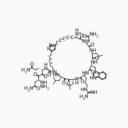 CN[C@@H]1CCCCCn2cc(nn2)CCC[C@@H](C(=O)N[C@@H](CCC(N)=O)C(=O)C(=O)[C@H](CC(N)=O)NN)NN[C@H](CC(C)C)C(=O)C(=O)[C@H](CC(C)C)NC(=O)C(CCCNC(=N)N)NC(=O)[C@H](Cc2c[nH]c3ccccc23)NC(=O)C(CC(C)C)NC(=O)[C@H](CC(N)=O)NC1=O